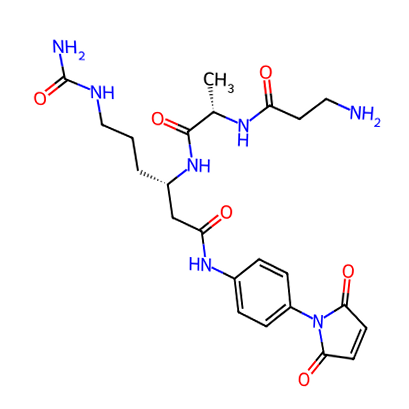 C[C@H](NC(=O)CCN)C(=O)N[C@@H](CCCNC(N)=O)CC(=O)Nc1ccc(N2C(=O)C=CC2=O)cc1